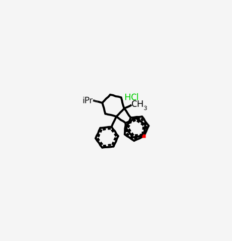 CC(C)C1CCC(C)(c2ccccc2)C(c2ccccc2)(c2ccccc2)C1.Cl